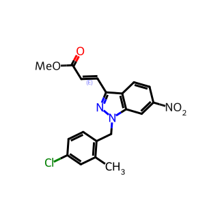 COC(=O)/C=C/c1nn(Cc2ccc(Cl)cc2C)c2cc([N+](=O)[O-])ccc12